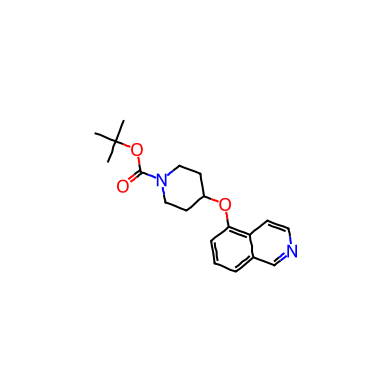 CC(C)(C)OC(=O)N1CCC(Oc2cccc3cnccc23)CC1